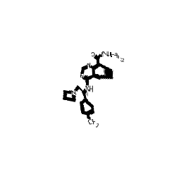 NC(=O)c1cccc2c(N[C@H](CN3CCC3)c3ccc(C(F)(F)F)cc3)ncnc12